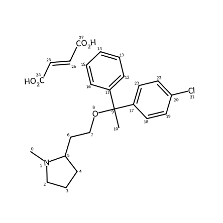 CN1CCCC1CCOC(C)(c1ccccc1)c1ccc(Cl)cc1.O=C(O)/C=C/C(=O)O